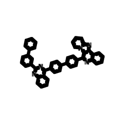 c1ccc(-c2cccc(-c3nc(-c4ccc(-c5ccc(-c6nc7ccccc7c7nc8ccccn8c67)cc5)cc4)c4ccccc4n3)c2)cc1